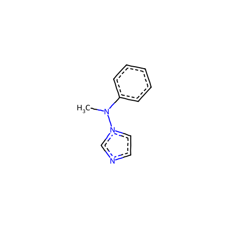 CN(c1ccccc1)n1ccnc1